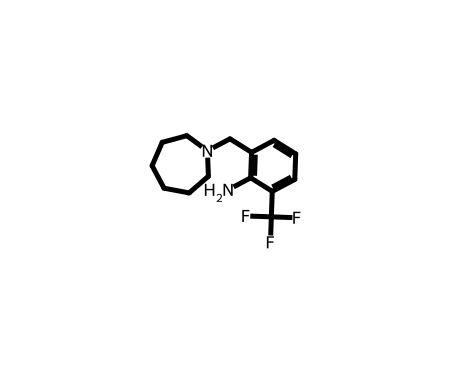 Nc1c(CN2CCCCCC2)cccc1C(F)(F)F